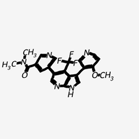 COc1ccncc1-c1c[nH]c2ncc(-c3cncc(C(=O)N(C)C)c3)c(C(F)(F)F)c12